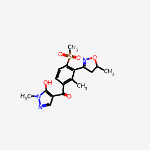 Cc1c(C(=O)c2cnn(C)c2O)ccc(S(C)(=O)=O)c1C1=NOC(C)C1